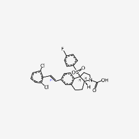 O=C(O)N1CC[C@@]2(S(=O)(=O)c3ccc(F)cc3)c3ccc(/C=C/c4c(Cl)cccc4Cl)cc3CC[C@@H]12